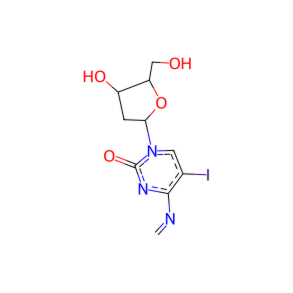 C=Nc1nc(=O)n(C2CC(O)C(CO)O2)cc1I